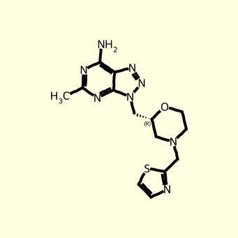 Cc1nc(N)c2nnn(C[C@H]3CN(Cc4nccs4)CCO3)c2n1